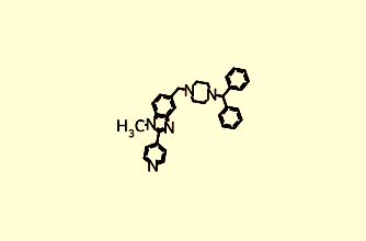 Cn1c(-c2ccncc2)nc2cc(CN3CCN(C(c4ccccc4)c4ccccc4)CC3)ccc21